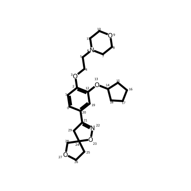 c1cc(OCCN2CCOCC2)c(OC2CCCC2)cc1C1=NOC2(CCOC2)C1